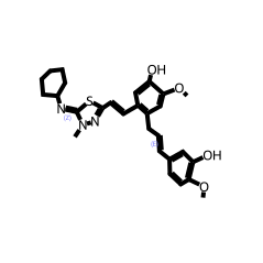 COc1ccc(/C=C/Cc2cc(OC)c(O)cc2C=Cc2nn(C)/c(=N/C3CCCCC3)s2)cc1O